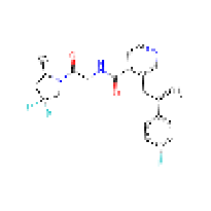 C=C(Cc1cnccc1C(=O)NCC(=O)N1CC(F)(F)C[C@H]1C#N)c1ccc(F)cc1